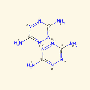 Nc1nnc(N)nn1.Nc1nnc(N)nn1